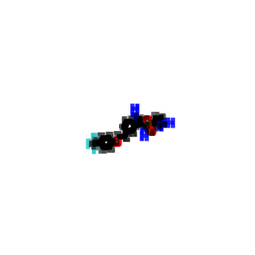 O=S(=O)(Nc1c[nH]c2ccc(CCOc3ccc(C(F)(F)F)cc3)cc12)c1cc[nH]n1